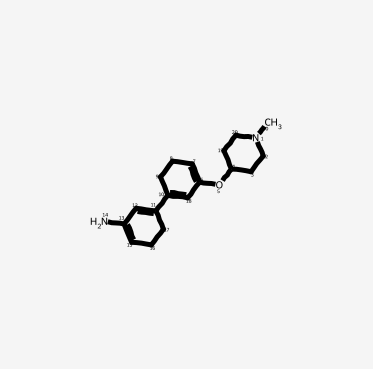 CN1CCC(OC2=CCCC(C3=CC(N)=CCC3)=C2)CC1